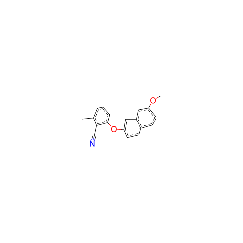 COc1ccc2ccc(Oc3cccc(C)c3C#N)cc2c1